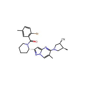 Cc1ccc(Br)c(C(=O)N2CCCC[C@H]2c2cc3nc(N4C[C@@H](C#N)[C@@H](C)C4)c(C)cn3n2)c1